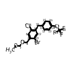 COCOCc1cc(Cl)c(Cc2ccc(OC(F)(F)F)cc2)cc1Br